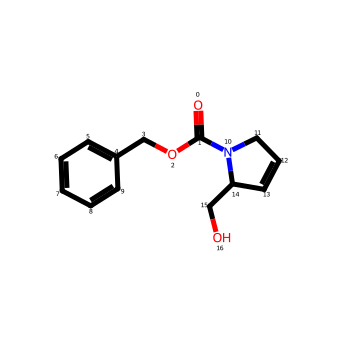 O=C(OCc1ccccc1)N1CC=CC1CO